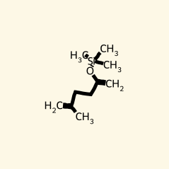 C=C(C)CCC(=C)O[Si](C)(C)C